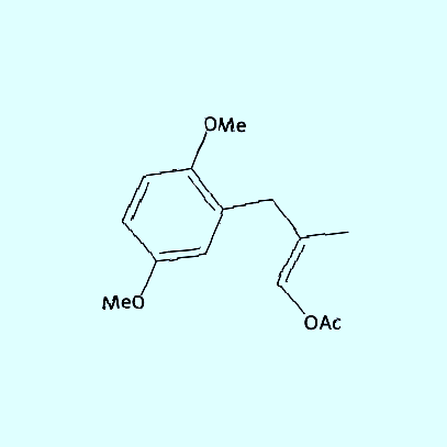 COc1ccc(OC)c(CC(C)=COC(C)=O)c1